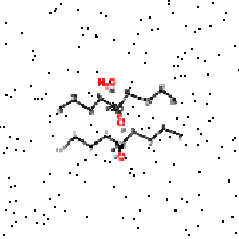 CCC[CH2][Sn](=[O])[CH2]CCC.CCC[CH2][Sn](=[O])[CH2]CCC.O